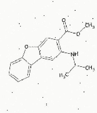 COC(=O)c1cc2oc3ccccc3c2cc1NC(C)C